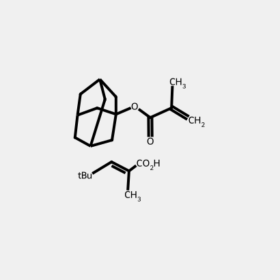 C=C(C)C(=O)OC12CC3CC(CC(C3)C1)C2.CC(=CC(C)(C)C)C(=O)O